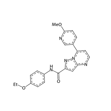 CCOc1ccc(NC(=O)c2cc3nccc(-c4ccc(OC)nc4)n3n2)cc1